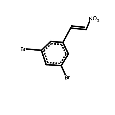 O=[N+]([O-])/C=C/c1cc(Br)cc(Br)c1